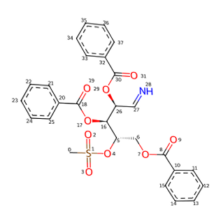 CS(=O)(=O)O[C@@H](COC(=O)c1ccccc1)[C@@H](OC(=O)c1ccccc1)[C@H](C=N)OC(=O)c1ccccc1